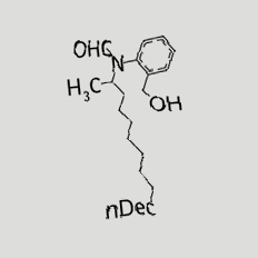 CCCCCCCCCCCCCCCCCC(C)N(C=O)c1ccccc1CO